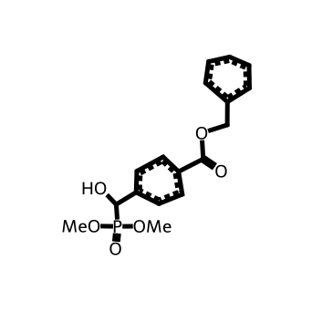 COP(=O)(OC)C(O)c1ccc(C(=O)OCc2ccccc2)cc1